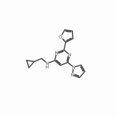 c1coc(-c2nc(NCC3CC3)cc(-n3cccn3)n2)c1